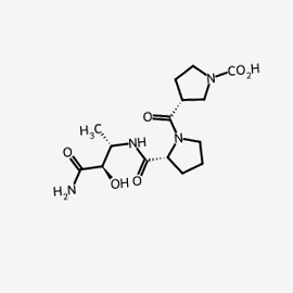 C[C@H](NC(=O)[C@H]1CCCN1C(=O)[C@@H]1CCN(C(=O)O)C1)[C@@H](O)C(N)=O